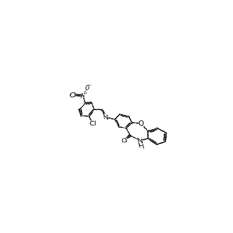 O=C1Nc2ccccc2Oc2ccc(/N=C/c3cc([N+](=O)[O-])ccc3Cl)cc21